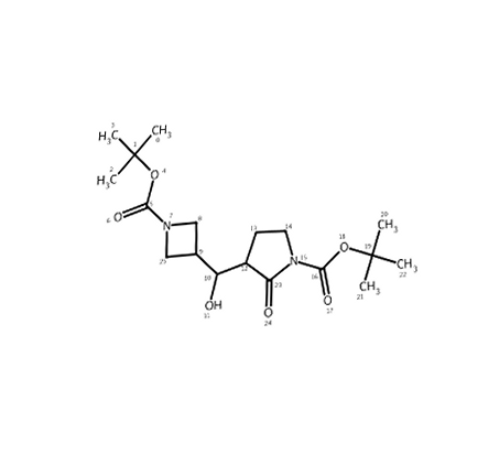 CC(C)(C)OC(=O)N1CC(C(O)C2CCN(C(=O)OC(C)(C)C)C2=O)C1